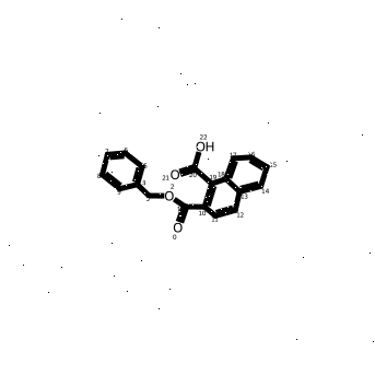 O=C(OCc1ccccc1)c1ccc2ccccc2c1C(=O)O